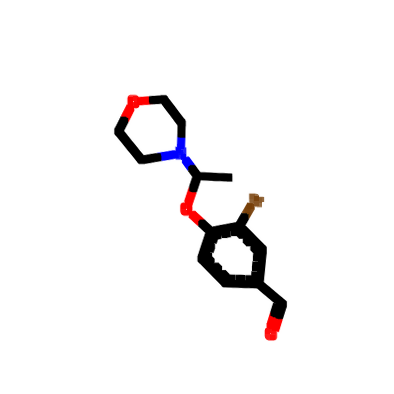 CC(Oc1ccc(C=O)cc1Br)N1CCOCC1